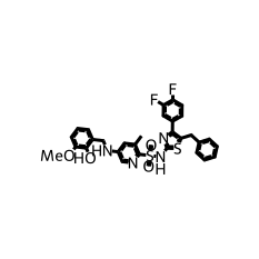 COc1cccc(CNc2cnc(S(=O)(=O)Nc3nc(-c4ccc(F)c(F)c4)c(Cc4ccccc4)s3)c(C)c2)c1O